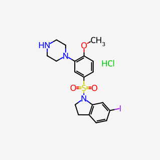 COc1ccc(S(=O)(=O)N2CCc3ccc(I)cc32)cc1N1CCNCC1.Cl